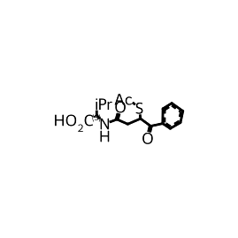 CC(=O)SC(CC(=O)N[C@H](C(=O)O)C(C)C)C(=O)c1ccccc1